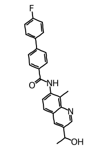 Cc1c(NC(=O)c2ccc(-c3ccc(F)cc3)cc2)ccc2cc(C(C)O)cnc12